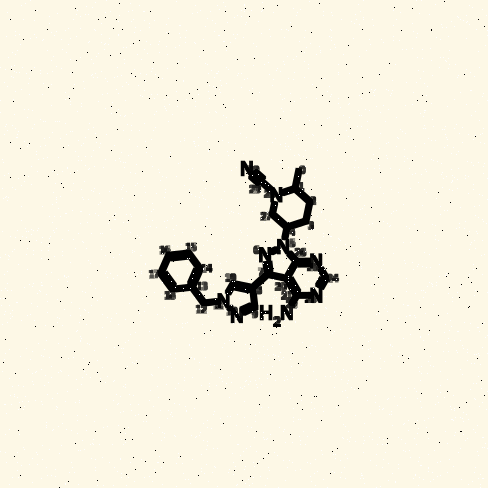 CC1CCC(n2nc(-c3cnn(Cc4ccccc4)c3)c3c(N)ncnc32)CN1C#N